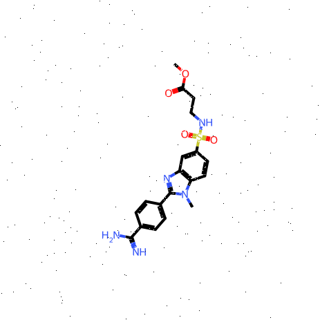 COC(=O)CCNS(=O)(=O)c1ccc2c(c1)nc(-c1ccc(C(=N)N)cc1)n2C